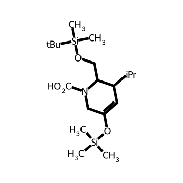 CC(C)C1C=C(O[Si](C)(C)C)CN(C(=O)O)C1CO[Si](C)(C)C(C)(C)C